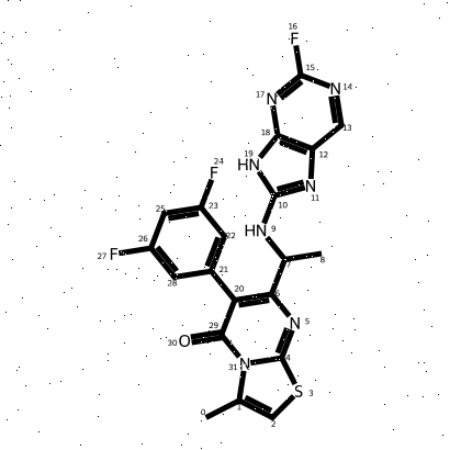 Cc1csc2nc(C(C)Nc3nc4cnc(F)nc4[nH]3)c(-c3cc(F)cc(F)c3)c(=O)n12